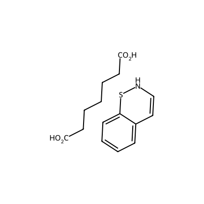 C1=Cc2ccccc2SN1.O=C(O)CCCCCC(=O)O